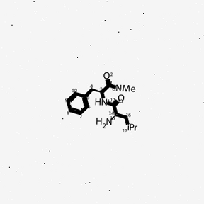 CNC(=O)[C@H](Cc1ccccc1)NC(=O)[C@@H](N)CC(C)C